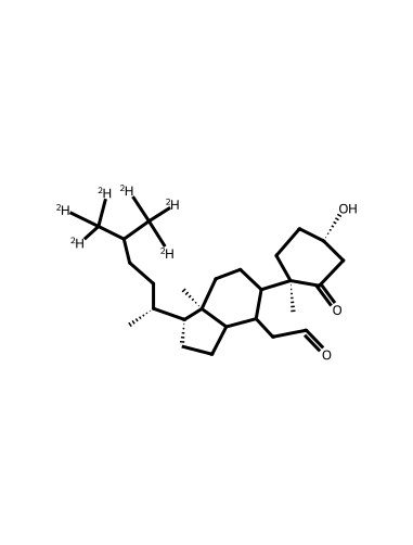 [2H]C([2H])([2H])C(CC[C@@H](C)[C@H]1CCC2C(CC=O)C([C@@]3(C)CC[C@H](O)CC3=O)CC[C@@]21C)C([2H])([2H])[2H]